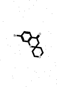 O=C1CC2(CCOCC2)Sc2cc(Br)ccc21